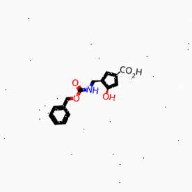 O=C(NC[C@H]1C[C@H](C(=O)O)C[C@H]1O)OCc1ccccc1